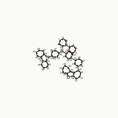 c1ccc(-c2ccccc2N(c2ccc(-c3cccc(-c4cccc5oc6ccccc6c45)c3)cc2)c2ccc(-n3c4ccccc4c4ccccc43)cc2)cc1